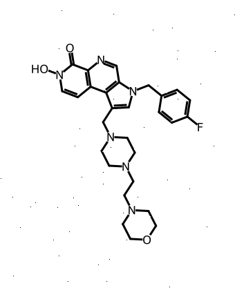 O=c1c2ncc3c(c(CN4CCN(CCN5CCOCC5)CC4)cn3Cc3ccc(F)cc3)c2ccn1O